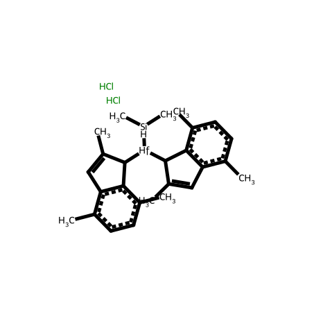 CC1=Cc2c(C)ccc(C)c2[CH]1[Hf]([CH]1C(C)=Cc2c(C)ccc(C)c21)[SiH](C)C.Cl.Cl